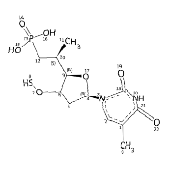 Cc1cn([C@H]2CC(OS)[C@@H]([C@H](C)CP(=O)(O)O)O2)c(=O)[nH]c1=O